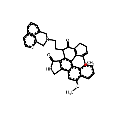 COC1=CCCC2=C1c1c(c3c(c4cc(OC)c5ccccc5c14)CNC3=O)C(CCN(Cc1ccccn1)Cc1ccccn1)C2=O